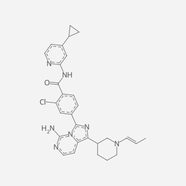 CC=CN1CCCC(c2nc(-c3ccc(C(=O)Nc4cc(C5CC5)ccn4)c(Cl)c3)n3c(N)nccc23)C1